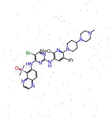 COc1nc(N2CCC(N3CCN(C)CC3)CC2)c(C(C)C)cc1Nc1ncc(Br)c(Nc2ccc3nccnc3c2P(C)(C)=O)n1